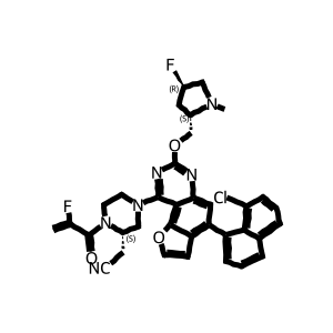 C=C(F)C(=O)N1CCN(c2nc(OC[C@@H]3C[C@@H](F)CN3C)nc3cc(-c4cccc5cccc(Cl)c45)c4ccoc4c23)C[C@@H]1CC#N